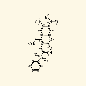 CCCCSc1c(C=C(C#N)S(=O)(=O)c2ccccc2)c(=O)oc2cc(N(CC)CC)c([N+](=O)[O-])cc12